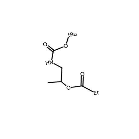 CCC(=O)OC(C)CNC(=O)OC(C)(C)C